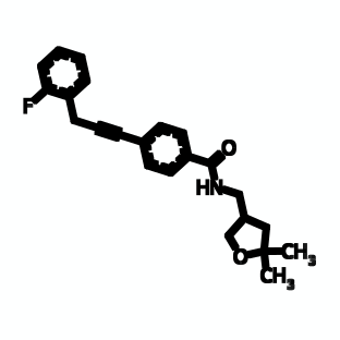 CC1(C)CC(CNC(=O)c2ccc(C#CCc3ccccc3F)cc2)CO1